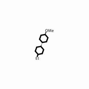 CCC1CCC([C@H]2CC[C@H](OC)CC2)CC1